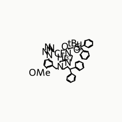 COc1ccc(-n2nnnc2C(F)(F)F)cc1CN1CC(C(c2ccccc2)c2ccccc2)N2CCN(C(=O)[C@H](C)O[Si](c3ccccc3)(c3ccccc3)C(C)(C)C)C[C@H]2C1